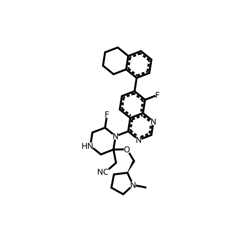 CN1CCC[C@H]1COC1(CC#N)CNCC(F)N1c1ncnc2c(F)c(-c3cccc4c3CCCC4)ccc12